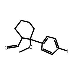 COC1(c2ccc(I)cc2)CCCCC1C=O